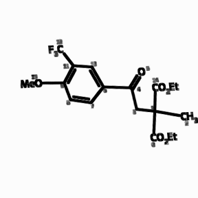 CCOC(=O)C(C)(CC(=O)c1ccc(OC)c(C(F)(F)F)c1)C(=O)OCC